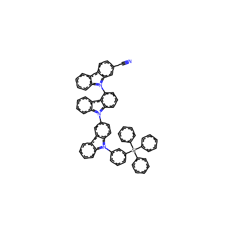 N#Cc1ccc2c3ccccc3n(-c3cccc4c3c3ccccc3n4-c3ccc4c(c3)c3ccccc3n4-c3cccc([Si](c4ccccc4)(c4ccccc4)c4ccccc4)c3)c2c1